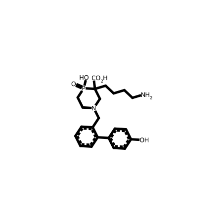 NCCCCC1(C(=O)O)CN(Cc2ccccc2-c2ccc(O)cc2)CCP1(=O)O